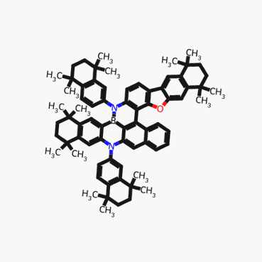 CC1(C)CCC(C)(C)c2cc(N3B4c5cc6c(cc5N(c5ccc7c(c5)C(C)(C)CCC7(C)C)c5cc7ccccc7c(c54)-c4c3ccc3c4oc4cc5c(cc43)C(C)(C)CCC5(C)C)C(C)(C)CCC6(C)C)ccc21